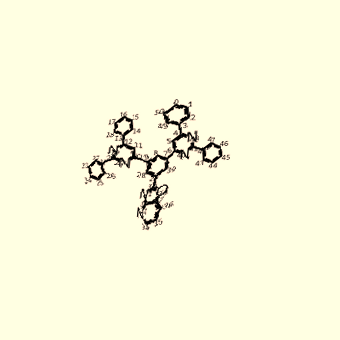 c1ccc(-c2cc(-c3cc(-c4cc(-c5ccccc5)nc(-c5ccccc5)n4)cc(-c4nc5ncccc5o4)c3)nc(-c3ccccc3)n2)cc1